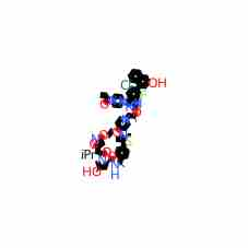 C=CC(=O)N1CCN(c2nc(O[C@H](C)CN3CCC(OCCOc4cc([C@@H](C(=O)N5C[C@H](O)C[C@H]5C(=O)N[C@@H](C)c5ccc(-c6scnc6C)cc5)C(C)C)on4)CC3)nc3c(F)c(-c4cc(O)cc5ccccc45)c(Cl)cc23)CC1